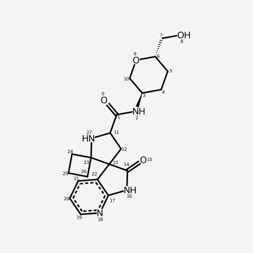 O=C(N[C@@H]1CC[C@@H](CO)OC1)C1CC2(C(=O)Nc3ncccc32)C2(CCC2)N1